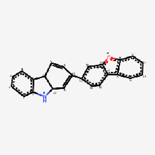 C1=CC2c3ccccc3NC2C=C1c1ccc2c(c1)oc1ccccc12